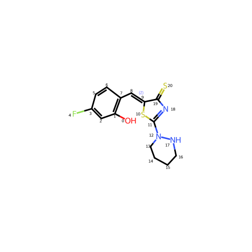 Oc1cc(F)ccc1/C=C1\SC(N2CCCCN2)=NC1=S